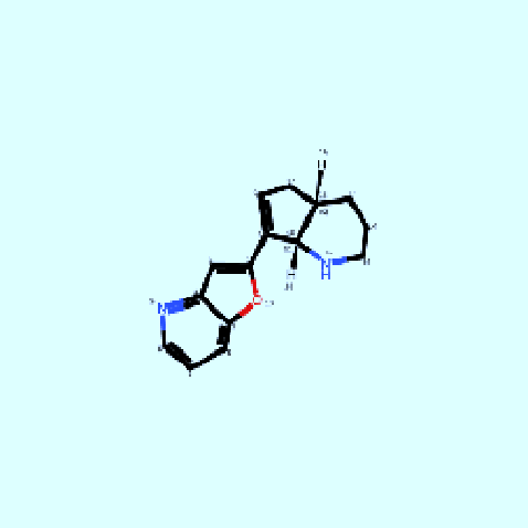 C1=C(c2cc3ncccc3o2)[C@H]2NCCC[C@H]2C1